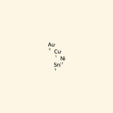 [Au].[Cu].[Ni].[Sn]